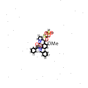 COc1ccc(N(Cc2ccccc2)Cc2ccccc2)cc1C(OC(=S)OS(C)(=O)=O)[C@@H]1CCCN1C(=O)OC(C)(C)C